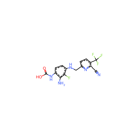 N#Cc1nc(CNc2ccc(NC(=O)O)c(N)c2F)ccc1C(F)(F)F